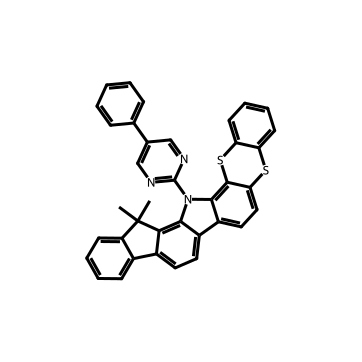 CC1(C)c2ccccc2-c2ccc3c4ccc5c(c4n(-c4ncc(-c6ccccc6)cn4)c3c21)Sc1ccccc1S5